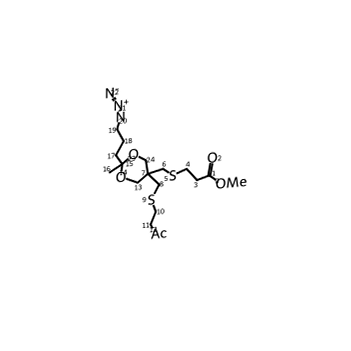 COC(=O)CCSCC1(CSCCC(C)=O)COC(C)(CCCN=[N+]=[N-])OC1